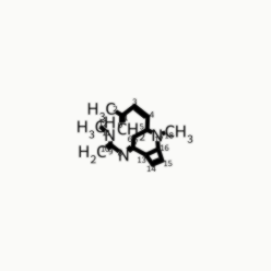 C=C(C)/C=C\C1C/C(=N\C(=C)NC)C2C=CC2N1C